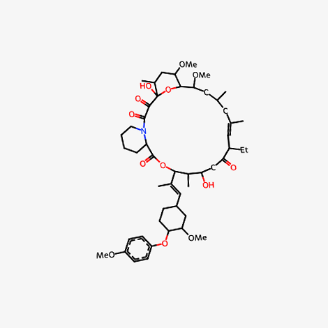 CCC1/C=C(\C)CC(C)CC(OC)C2OC(O)(C(=O)C(=O)N3CCCCC3C(=O)OC(C(C)=CC3CCC(Oc4ccc(OC)cc4)C(OC)C3)C(C)C(O)CC1=O)C(C)CC2OC